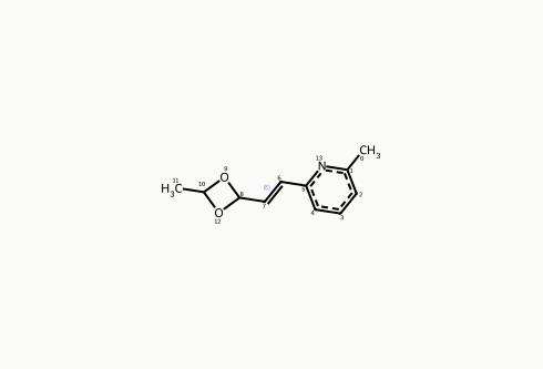 Cc1cccc(/C=C/C2OC(C)O2)n1